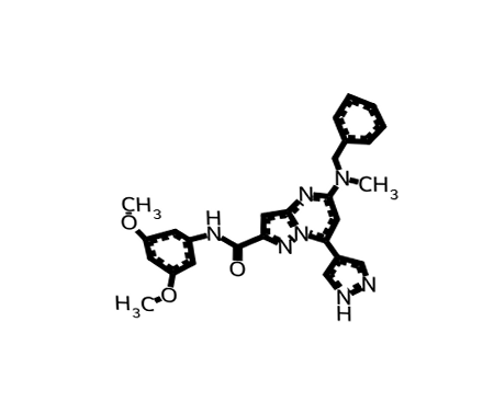 COc1cc(NC(=O)c2cc3nc(N(C)Cc4ccccc4)cc(-c4cn[nH]c4)n3n2)cc(OC)c1